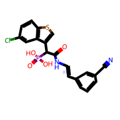 N#Cc1cccc(/C=C/NC(=O)C(c2csc3ccc(Cl)cc23)P(=O)(O)O)c1